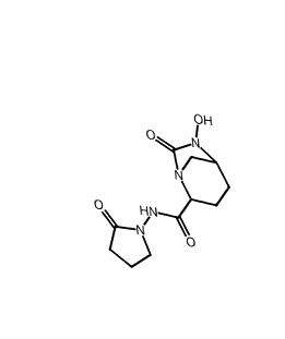 O=C(NN1CCCC1=O)C1CCC2CN1C(=O)N2O